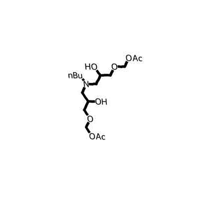 CCCCN(CC(O)COCOC(C)=O)CC(O)COCOC(C)=O